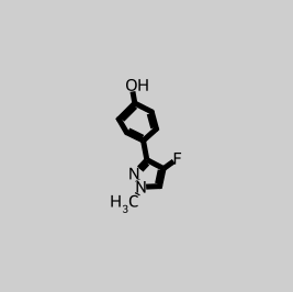 Cn1cc(F)c(-c2ccc(O)cc2)n1